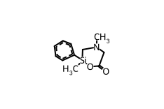 CN1CC(=O)O[Si](C)(c2ccccc2)C1